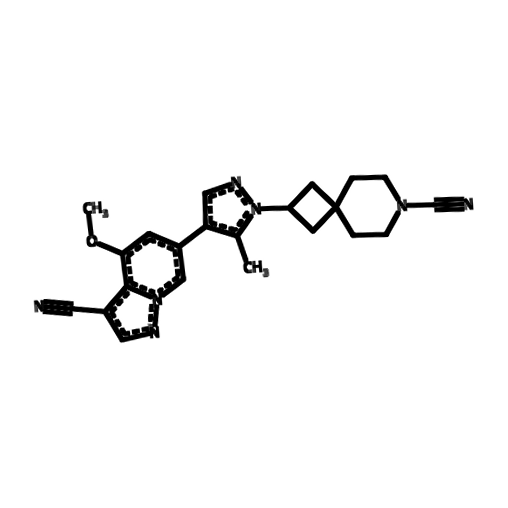 COc1cc(-c2cnn(C3CC4(CCN(C#N)CC4)C3)c2C)cn2ncc(C#N)c12